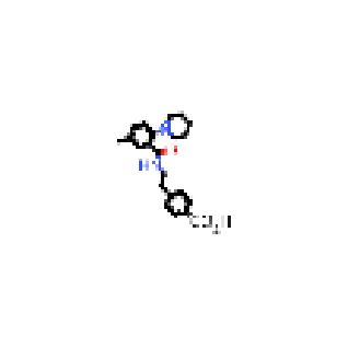 Cc1ccc(N2CCCCC2)c(C(=O)NCCc2ccc(C(=O)O)cc2)c1